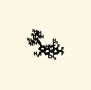 [2H]C([2H])([2H])NC(C#CC1=Cc2c(cc(C)nc2NC(C)c2cccc(C(F)F)c2F)N(C)C1)NC([2H])([2H])[2H]